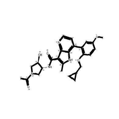 COc1ccc(OCC2CC2)c(-c2ccnc3c(C(=O)N[C@@H]4CN(C(C)=O)C[C@H]4O)c(C)[nH]c23)c1